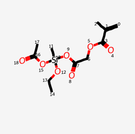 C=C(C)C(=O)OCC(=O)O[Si](C)(OCC)OC(C)=O